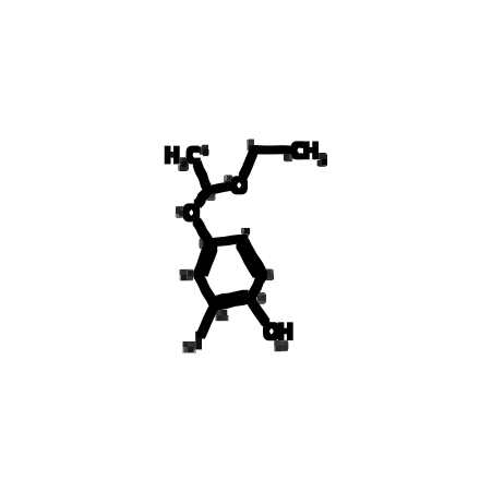 CCOC(C)Oc1ccc(O)c(I)c1